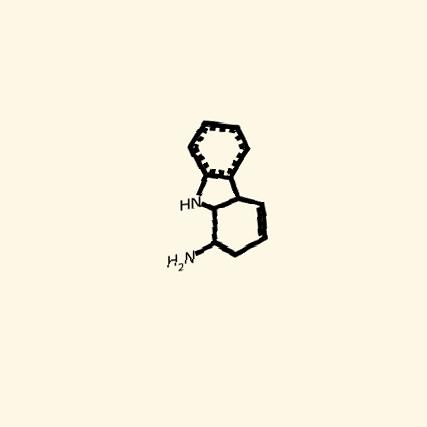 NC1CC=CC2c3ccccc3NC12